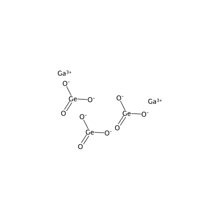 [Ga+3].[Ga+3].[O]=[Ge]([O-])[O-].[O]=[Ge]([O-])[O-].[O]=[Ge]([O-])[O-]